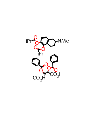 CNC1CCc2c(ccc(OC(=O)C(C)C)c2OC(=O)C(C)C)C1.O=C(OC(C(=O)O)[C@@H](OC(=O)c1ccccc1)C(=O)O)c1ccccc1